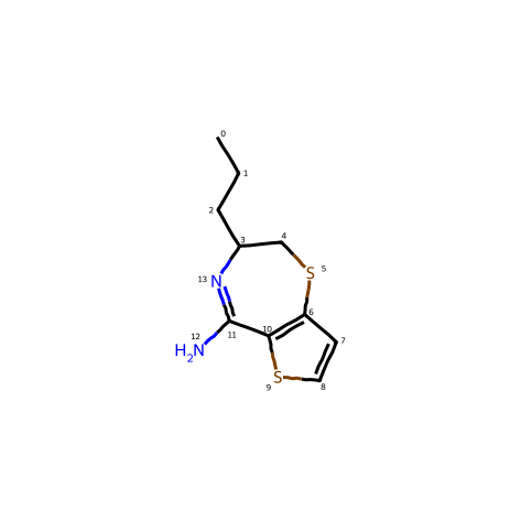 CCCC1CSc2ccsc2C(N)=N1